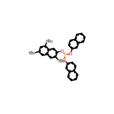 CC(C)(C)c1cc(C(C)(C)C)c2cc(OP(Oc3ccc4ccccc4c3)Oc3ccc4ccccc4c3)c(C(C)(C)C)cc2c1